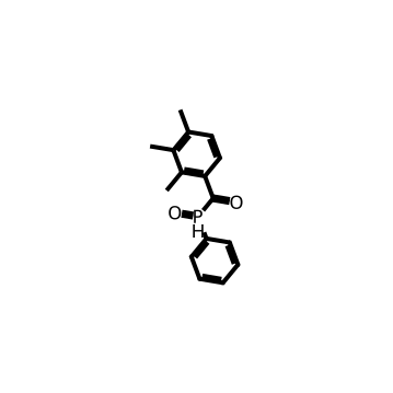 Cc1ccc(C(=O)[PH](=O)c2ccccc2)c(C)c1C